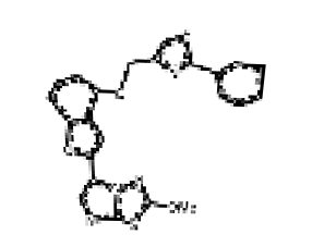 COc1nn2c(-c3cc4c(OCc5csc(-c6ccccc6)n5)cccc4o3)cnc2s1